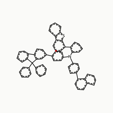 c1ccc(C2(c3ccccc3)c3ccccc3-c3ccc(-c4ccc(N(c5ccc(-c6cccc7ccccc67)cc5)c5ccccc5-c5cccc6c5sc5ccccc56)cc4)cc32)cc1